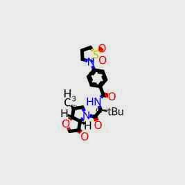 C[C@H]1CN(C(=O)[C@@H](NC(=O)c2ccc(N3CCCS3(=O)=O)cc2)C(C)(C)C)[C@@H]2C(=O)CO[C@@H]21